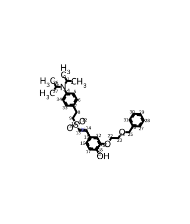 CC(C)N(c1ccc(CCS(=O)(=O)/C=C/c2ccc(O)c(OCCOCc3ccccc3)c2)cc1)C(C)C